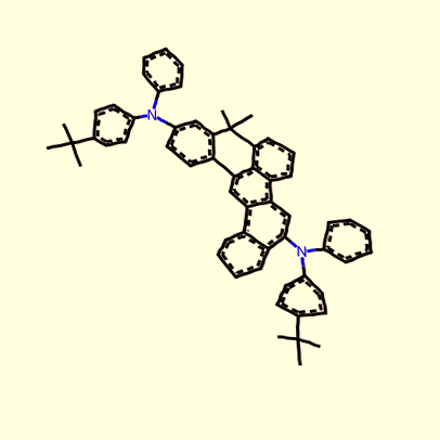 CC(C)(C)c1ccc(N(c2ccccc2)c2ccc3c(c2)C(C)(C)c2cccc4c2c-3cc2c3ccccc3c(N(c3ccccc3)c3ccc(C(C)(C)C)cc3)cc42)cc1